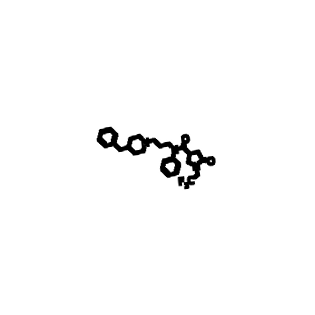 O=C1CC(C(=O)N(CCCN2CCC(Cc3ccccc3)CC2)c2ccccc2)CN1CC(F)(F)F